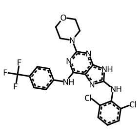 FC(F)(F)c1ccc(Nc2nc(N3CCOCC3)nc3[nH]c(Nc4c(Cl)cccc4Cl)nc23)cc1